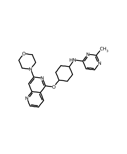 Cc1nccc(NC2CCC(Oc3nc(N4CCOCC4)cc4ncccc34)CC2)n1